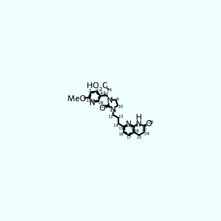 COc1ccc([C@H](CC(=O)O)N2CCN(CCCc3ccc4c(n3)NC(=O)CC4)C2=O)cn1